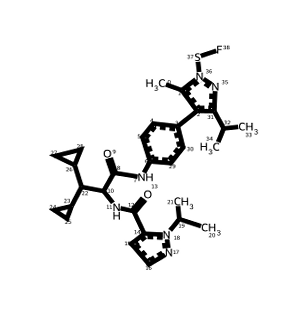 Cc1c(-c2ccc(NC(=O)C(NC(=O)c3ccnn3C(C)C)C(C3CC3)C3CC3)cc2)c(C(C)C)nn1SF